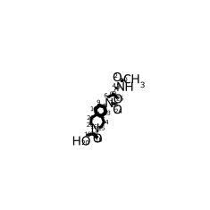 CC(=O)NC[C@H]1CN(c2ccc3c(c2)CCN(C(=O)CO)CC3)C(=O)O1